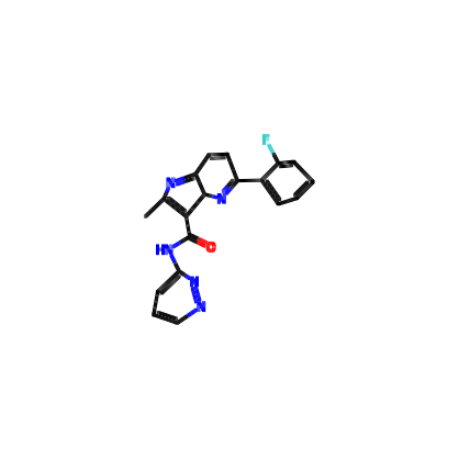 CC1=C(C(=O)Nc2cccnn2)C2N=C(c3ccccc3F)C=CC2=N1